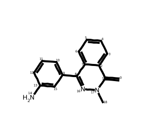 C=C1c2ccccc2C(c2cccc(N)c2)=NN1C